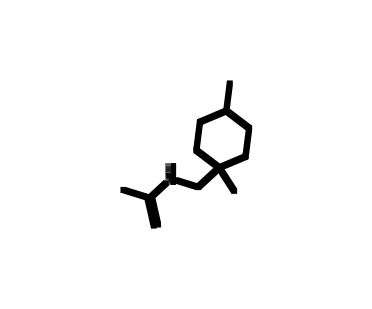 C=C(C)NCC1(C)CCC(C)CC1